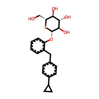 OC[C@H]1S[C@@H](Oc2ccccc2Cc2ccc(C3CC3)cc2)[C@H](O)[C@@H](O)[C@@H]1O